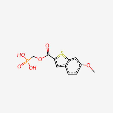 COc1ccc2cc(C(=O)OCP(=O)(O)O)sc2c1